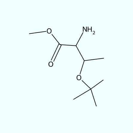 COC(=O)C(N)C(C)OC(C)(C)C